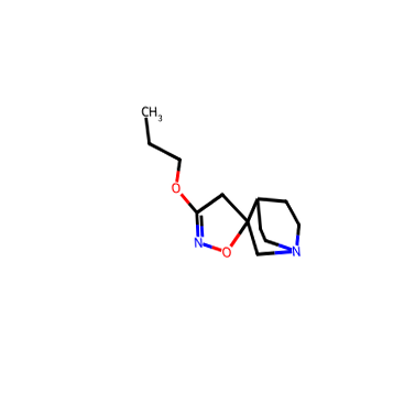 CCCOC1=NOC2(C1)CN1CCC2CC1